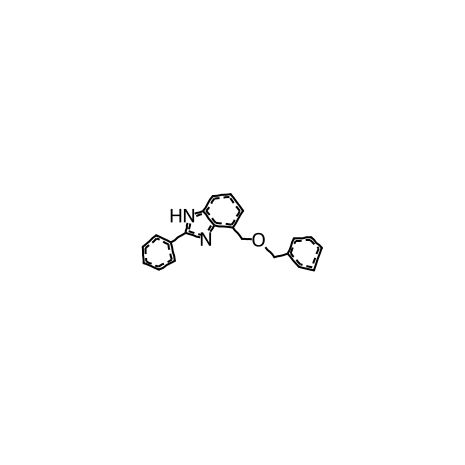 c1ccc(COCc2cccc3[nH]c(-c4ccccc4)nc23)cc1